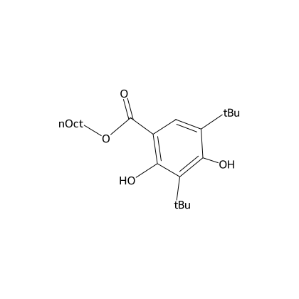 CCCCCCCCOC(=O)c1cc(C(C)(C)C)c(O)c(C(C)(C)C)c1O